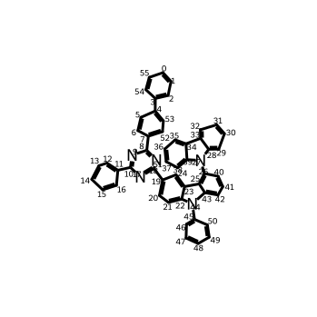 c1ccc(-c2ccc(-c3nc(-c4ccccc4)nc(-c4ccc5c(c4)c4c(-n6c7ccccc7c7ccccc76)cccc4n5-c4ccccc4)n3)cc2)cc1